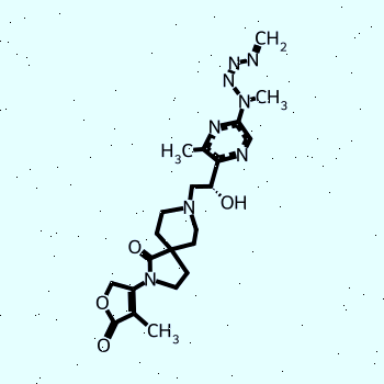 C=N/N=N\N(C)c1cnc([C@H](O)CN2CCC3(CC2)CCN(C2=C(C)C(=O)OC2)C3=O)c(C)n1